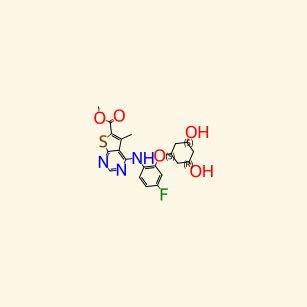 COC(=O)c1sc2ncnc(Nc3ccc(F)cc3O[C@@H]3C[C@H](O)C[C@H](O)C3)c2c1C